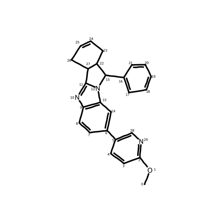 COc1ccc(-c2ccc3nc4n(c3c2)C(c2ccccc2)C2CC=CCC42)cn1